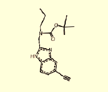 C#Cc1ccc2[nH]c(CN(CCC)C(=O)OC(C)(C)C)nc2c1